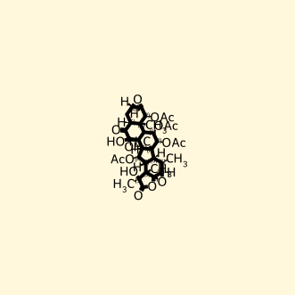 CC(=O)O[C@H]1[C@@H]2[C@H]([C@H](C)[C@H]3O[C@]34OC(=O)[C@@](C)(O)[C@]24C)[C@]2(C)[C@@H]1C1C([C@H](OC(C)=O)[C@@H]2OC(C)=O)[C@]2(C)[C@H](C[C@@H]3O[C@@H]3[C@@H]2OC(C)=O)C(=O)C1(O)O